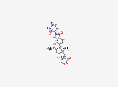 Bc1cc(C(B)Oc2cccc3c2CN(C2CCC(=O)NC2=O)C3=O)cc(B)c1CN1CCOCC1=O